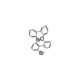 Brc1ccccc1-c1ccccc1Oc1ccccc1-c1ccccc1Br